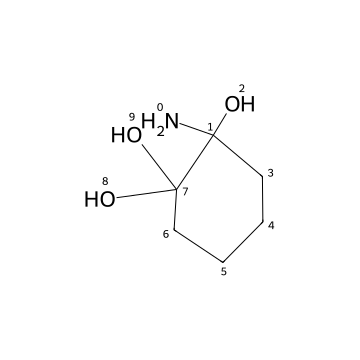 NC1(O)CCCCC1(O)O